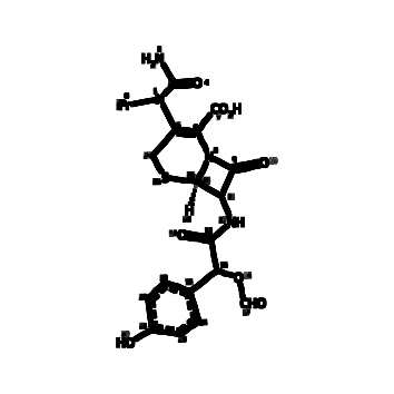 CC(C)N(C(N)=O)C1=C(C(=O)O)N2C(=O)C(NC(=O)C(OC=O)c3ccc(O)cc3)[C@H]2SC1